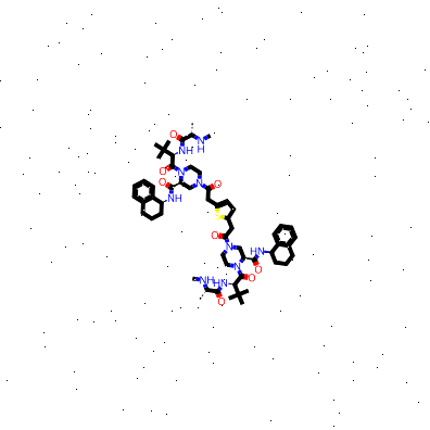 CN[C@@H](C)C(=O)N[C@H](C(=O)N1CCN(C(=O)CC2=CCC(CC(=O)N3CCN(C(=O)[C@@H](NC(=O)[C@H](C)NC)C(C)(C)C)[C@H](C(=O)N[C@@H]4CCCc5ccccc54)C3)S2)C[C@H]1C(=O)N[C@@H]1CCCc2ccccc21)C(C)(C)C